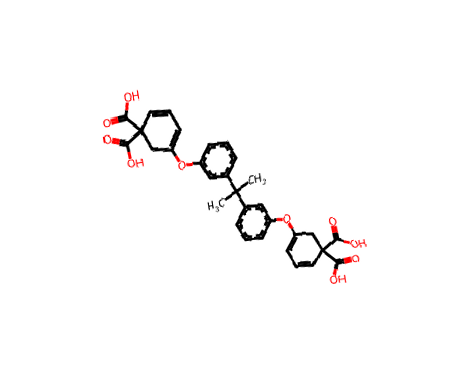 CC(C)(c1cccc(OC2=CC=CC(C(=O)O)(C(=O)O)C2)c1)c1cccc(OC2=CC=CC(C(=O)O)(C(=O)O)C2)c1